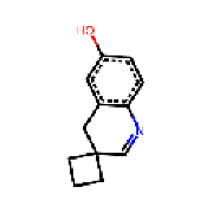 Oc1ccc2c(c1)CC1(C=N2)CCC1